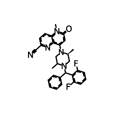 CC1CN(c2cc(=O)n(C)c3ccc(C#N)nc23)[C@@H](C)CN1C(c1ccccc1)c1c(F)cccc1F